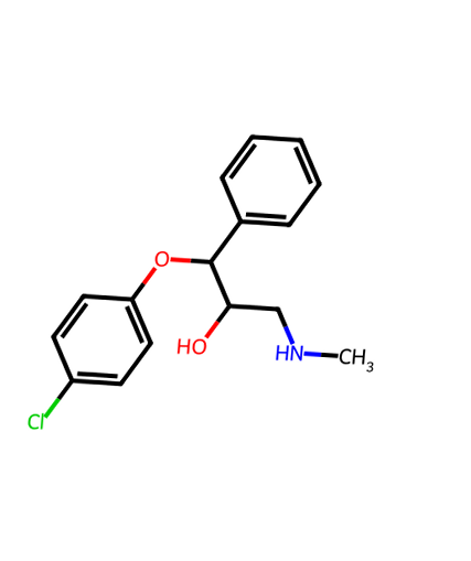 CNCC(O)C(Oc1ccc(Cl)cc1)c1ccccc1